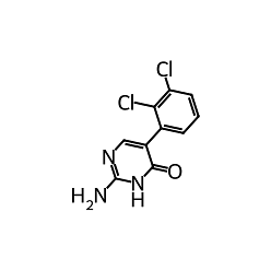 Nc1ncc(-c2cccc(Cl)c2Cl)c(=O)[nH]1